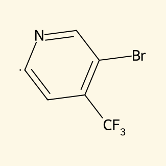 FC(F)(F)c1c[c]ncc1Br